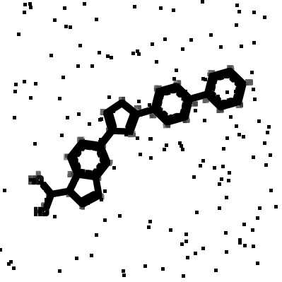 OC(O)C1C=Cc2cc(C3=CCC(c4ccc(-c5ccccc5)cc4)=C3)ccc21